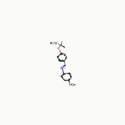 CCOC(=O)C(C)(C)Oc1ccc(/C=N/c2ccc(OC)cc2)cc1